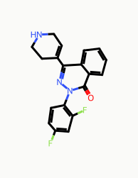 O=c1c2ccccc2c(C2=CCNCC2)nn1-c1ccc(F)cc1F